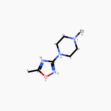 CCN1CCN(c2noc(C)n2)CC1